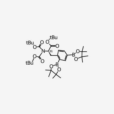 CC(C)(C)OC(=O)[C@@H](Cc1ccc(B2OC(C)(C)C(C)(C)O2)cc1B1OC(C)(C)C(C)(C)O1)N(C(=O)OC(C)(C)C)C(=O)OC(C)(C)C